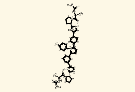 COC(=O)N[C@H](C(=O)N1CCC[C@H]1c1ncc(-c2ccc(-c3ccc(-c4cccc(-c5cnc([C@@H]6CCCN6C(=O)[C@@H](NC(=O)OC)C(C)C)[nH]5)c4)n3-c3ccc(C(C)(C)C)cc3)cc2)[nH]1)C(C)C